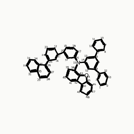 c1ccc(-c2cc(-c3ccccc3)cc(N(c3cccc(-c4cccc(-c5cccc6ccccc56)c4)c3)c3cccc4c3oc3ccccc34)c2)cc1